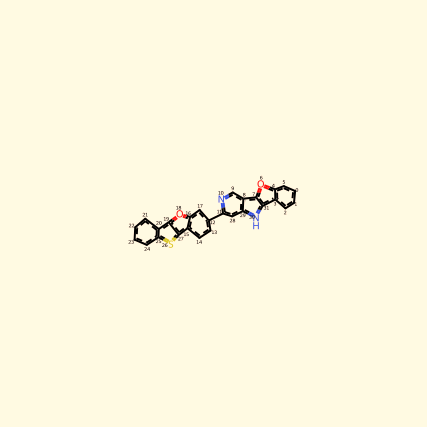 c1ccc2c(c1)oc1c3cnc(-c4ccc5c(c4)oc4c6ccccc6sc54)cc3[nH]c21